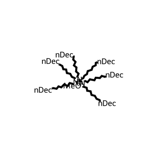 CCCCCCCCCCCCCCCCCC[N](CCCCCCCCCCCCCCCCCC)[Ti]([O]C)([N](CCCCCCCCCCCCCCCCCC)CCCCCCCCCCCCCCCCCC)[N](CCCCCCCCCCCCCCCCCC)CCCCCCCCCCCCCCCCCC